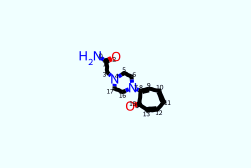 NC(=O)CN1CCN(c2cccccc2=O)CC1